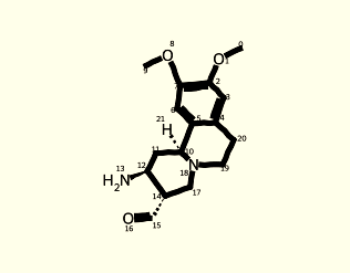 COc1cc2c(cc1OC)[C@@H]1C[C@H](N)[C@@H](C=O)CN1CC2